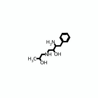 CC(O)CNCC(O)C(N)Cc1ccccc1